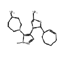 Cn1ncc(N2C=C(N)SC2C2C=CCCCC2)c1N1CCCC(N)CC1